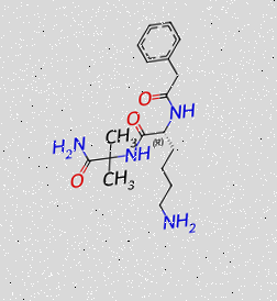 CC(C)(NC(=O)[C@@H](CCCCN)NC(=O)Cc1ccccc1)C(N)=O